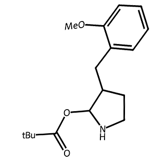 COc1ccccc1CC1CCNC1OC(=O)C(C)(C)C